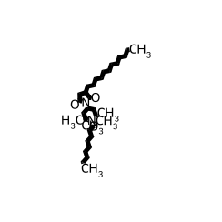 CCCCCCCCCCCCC1CC(=O)N(C2CC(C)(C)N(OCCCCCCCC)C(C)(C)C2)C1=O